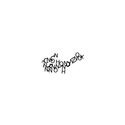 C[C@@H]1CCN(C(=O)CC#N)CC1N(C)c1ncnc2c1ccn2C(=O)NCC(=O)Nc1ccc(N2CCN(C(=O)OC(C)(C)C)CC2)cn1